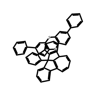 C1=CC2=C(C(N3c4ccc(-c5ccccc5)cc4Sc4cc(-c5ccccc5)ccc43)C=C1)C1(c3ccccc32)c2ccccc2-c2ccccc21